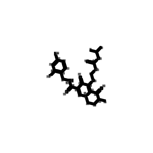 CC(C)OC(=O)OCOc1c2n(cc(C(=O)NCc3ccc(F)cc3F)c1=O)CCC(C)C2=O